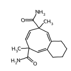 CC1(C(N)=O)/C=C\C(C)(C(N)=O)/C=C2/CCCC/C2=C/1